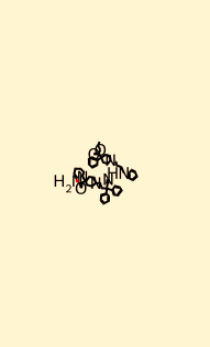 CCOC(=O)C1(c2ccccc2)CCN(CCCNc2ccccc2)CC1.N#CC(CCN1CCC(C(N)=O)(N2CCCCC2)CC1)(c1ccccc1)c1ccccc1